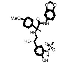 COc1ccc([C@@](C)(NC[C@@H](O)c2ccc(O)c(NS(C)(=O)=O)c2)C(=O)Nc2ccc3c(c2)OCO3)cc1